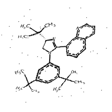 CC(C)(C)c1cc(N2C[C@H](C(C)(C)C)N=C2c2cccc3cccnc23)cc(C(C)(C)C)c1